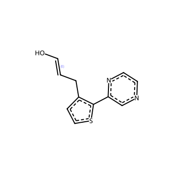 O/C=C/Cc1ccsc1-c1cnccn1